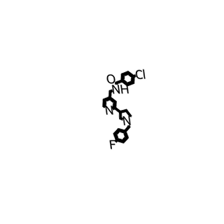 O=C(NCc1ccnc(C2CCN(Cc3ccc(F)cc3)C2)c1)c1ccc(Cl)cc1